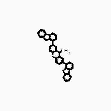 C=C1c2cc(-c3cccc4c3Cc3ccccc3-4)ccc2Sc2ccc(-c3cccc4c3Cc3ccccc3-4)cc21